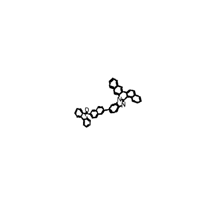 O=P1(c2ccc3cc(-c4ccc5nc6c7c8ccccc8ccc7c7cc8ccccc8cc7n6c5c4)ccc3c2)c2ccccc2-c2ccccc21